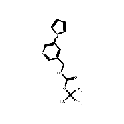 CC(C)(C)OC(=O)NCc1cncc([SH]2C=CC=C2)c1